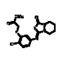 COC(=O)CSc1cc(N=c2sc(=O)n3n2CCCC3)ccc1Cl